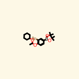 CC(Oc1ccc(B2OC(C)(C)C(C)(C)O2)cc1Br)OC1CCCCC1